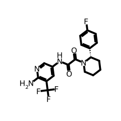 Nc1ncc(NC(=O)C(=O)N2CCCC[C@H]2c2ccc(F)cc2)cc1C(F)(F)F